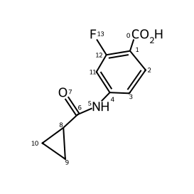 O=C(O)c1ccc(NC(=O)C2CC2)cc1F